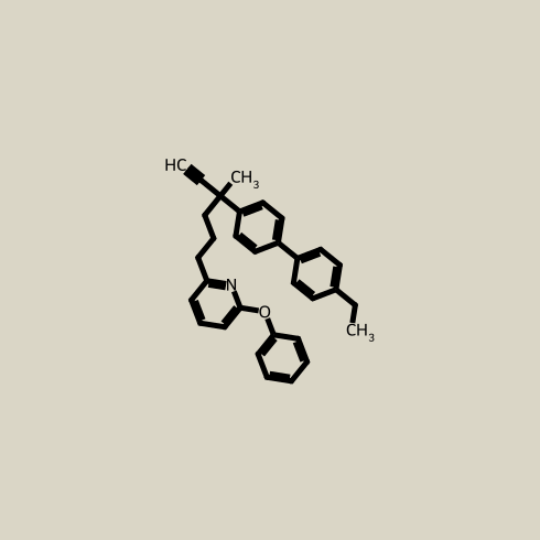 C#CC(C)(CCCc1cccc(Oc2ccccc2)n1)c1ccc(-c2ccc(CC)cc2)cc1